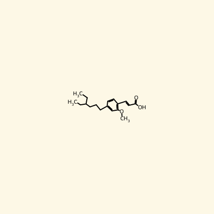 CCC(CC)CCCc1ccc(C=CC(=O)O)c(OC)c1